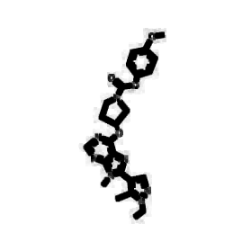 CCn1ncc(-c2nc3c(O[C@H]4CCN(C(=O)Oc5ccc(OC)cc5)C4)ncnc3n2C)c1C